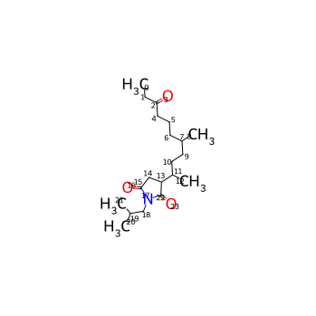 CCC(=O)CCCC(C)CCC(C)C1CC(=O)N(CC(C)C)C1=O